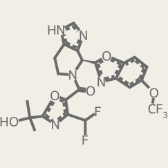 CC(C)(O)c1nc(C(F)F)c(C(=O)N2CCc3[nH]cnc3[C@H]2c2nc3cc(OC(F)(F)F)ccc3o2)o1